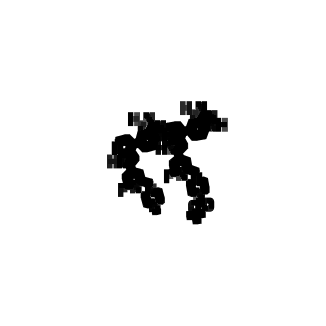 CC(C)(C)OC(=O)N1CCN(Cc2cc(-c3cc4c(-c5ccc6[nH]nc(N)c6c5)ccnc4[nH]3)cc(F)n2)CC1.CN1CCN(Cc2cc(-c3cc4c(-c5ccc6[nH]nc(N)c6c5)ccnc4[nH]3)cc(F)n2)CC1